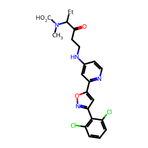 CCC(C(=O)CCNc1ccnc(-c2cc(-c3c(Cl)cccc3Cl)no2)c1)N(C)C(=O)O